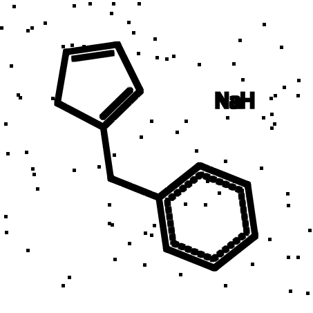 C1=CCC(Cc2ccccc2)=C1.[NaH]